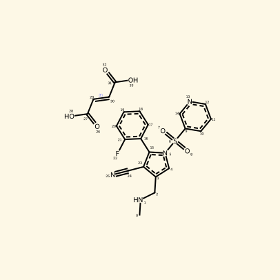 CNCc1cn(S(=O)(=O)c2cccnc2)c(-c2ccccc2F)c1C#N.O=C(O)/C=C/C(=O)O